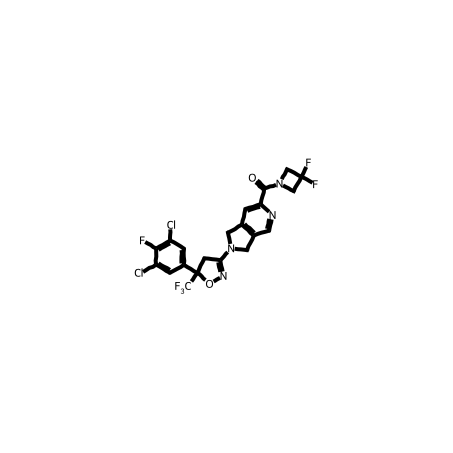 O=C(c1cc2c(cn1)CN(C1=NOC(c3cc(Cl)c(F)c(Cl)c3)(C(F)(F)F)C1)C2)N1CC(F)(F)C1